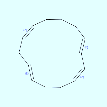 C1=C\CC/C=C/C/C=C\CCC/C=C/1